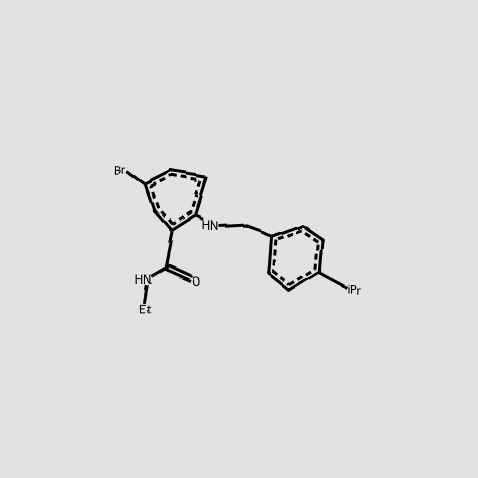 CCNC(=O)c1cc(Br)ccc1NCc1ccc(C(C)C)cc1